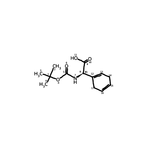 CC(C)(C)OC(=O)N[C@@H](C(=O)O)C1=CCC=CC1